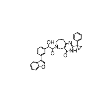 O=C([C@H](O)c1cccc(-c2coc3ccccc23)c1)N1CCCc2nc(C3(c4ccccc4)CC3)[nH]c(=O)c2C1